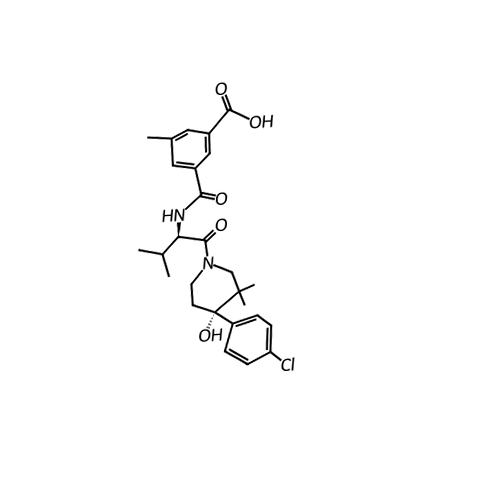 Cc1cc(C(=O)O)cc(C(=O)N[C@@H](C(=O)N2CC[C@](O)(c3ccc(Cl)cc3)C(C)(C)C2)C(C)C)c1